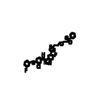 O=S(=O)(CCOCCCc1nc(-c2cc3c(Nc4ccc(OCc5cccc(F)c5)c(Cl)c4)ncnc3cc2F)cs1)c1ccccc1